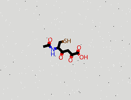 CC(=O)NC(CS)C(=O)CC(=O)C(=O)O